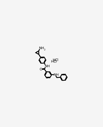 Cl.Cl.NC1CC1c1ccc(NC(=O)c2cccc(NCc3ccccc3)c2)cc1